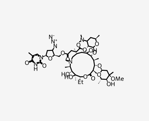 CC[C@H]1OC(=O)[C@H](C)[C@@H](O[C@H]2C[C@@](C)(OC)[C@@H](O)[C@H](C)O2)[C@H](C)[C@@H](O[C@@H]2O[C@H](C)CC(N(C)C)[C@H]2OC(=O)CCC(=O)OC[C@H]2O[C@@H](n3cc(C)c(=O)[nH]c3=O)CC2N=[N+]=[N-])[C@](C)(O)C[C@@H](C)CN(C)[C@H](C)[C@@H](O)[C@]1(C)O